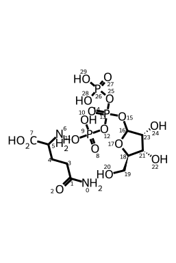 NC(=O)CCC(N)C(=O)O.O=P(O)(O)OP(=O)(OC1O[C@H](CO)[C@@H](O)[C@H]1O)OP(=O)(O)O